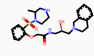 CC1CNCCN1S(=O)(=O)c1ccccc1OCC(=O)NC[C@@H](O)CN1CCc2ccccc2C1